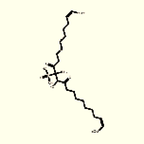 CCCCCCCC/C=C\CCCCCCCC(=O)C(O)C(N)(C(=O)CCCCCCC/C=C\CCCCCCCC)P(=O)(O)O